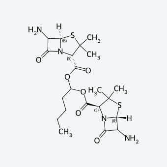 CCCCC(OC(=O)[C@@H]1N2C(=O)C(N)[C@H]2SC1(C)C)OC(=O)[C@@H]1N2C(=O)C(N)[C@H]2SC1(C)C